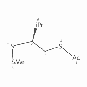 CSS[C@H](CSC(C)=O)C(C)C